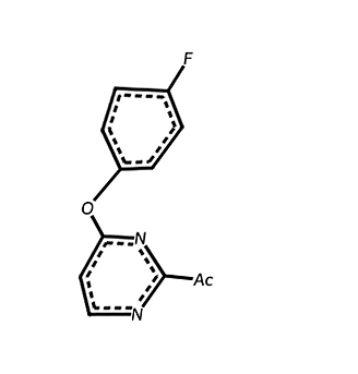 CC(=O)c1nccc(Oc2ccc(F)cc2)n1